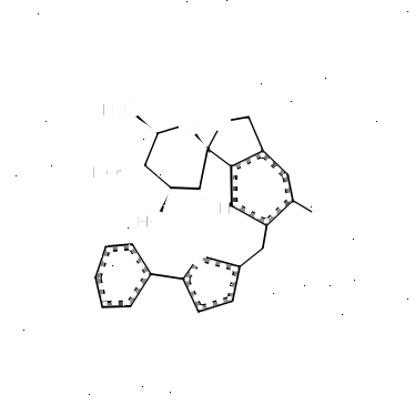 C[C@H]1O[C@]2(OCc3cc(F)c(Cc4ccc(-c5ccccc5)s4)cc32)[C@H](O)[C@@H](O)[C@@H]1O